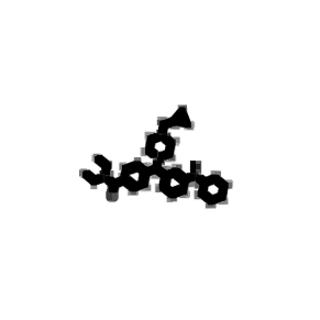 CCN(CC)C(=O)c1ccc(C(c2cccc(NC3CCCCC3)c2)N2CCN(CC3CC3)CC2)cc1